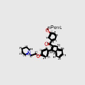 CCCCCOc1cccc(C(=O)C2=C(c3ccc(OCCN4CCCCC4)cc3)c3ccccc3C2)c1